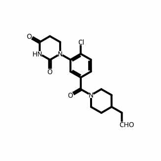 O=CCC1CCN(C(=O)c2ccc(Cl)c(N3CCC(=O)NC3=O)c2)CC1